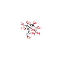 C[C@](O)([C@H](O)[C@H](O)CO)[C@@H](O)C=O.OCC(O)CO